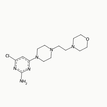 Nc1nc(Cl)cc(N2CCN(CCN3CCOCC3)CC2)n1